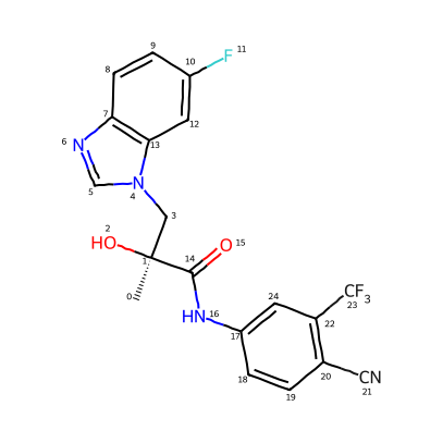 C[C@](O)(Cn1cnc2ccc(F)cc21)C(=O)Nc1ccc(C#N)c(C(F)(F)F)c1